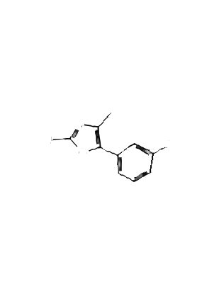 Cc1nc(Cl)oc1-c1cccc(F)c1